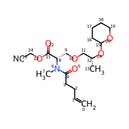 C=CCCC(=O)N(C)[C@@H](COC[C@@H](C)OC1CCCCO1)C(=O)OCC#N